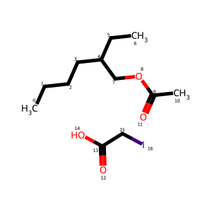 CCCCC(CC)COC(C)=O.O=C(O)CI